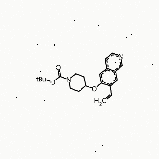 C=Cc1cc2cnccc2cc1OC1CCN(C(=O)OC(C)(C)C)CC1